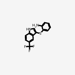 Nc1ccccc1Sc1c[nH]c2ccc(C(F)(F)F)cc12